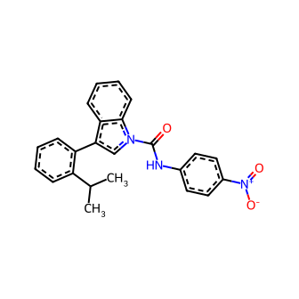 CC(C)c1ccccc1-c1cn(C(=O)Nc2ccc([N+](=O)[O-])cc2)c2ccccc12